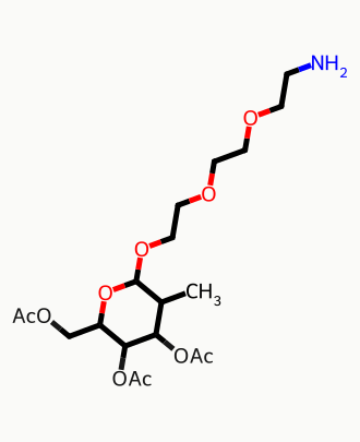 CC(=O)OCC1OC(OCCOCCOCCN)C(C)C(OC(C)=O)C1OC(C)=O